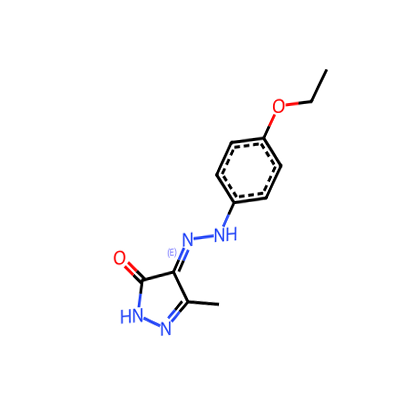 CCOc1ccc(N/N=C2/C(=O)NN=C2C)cc1